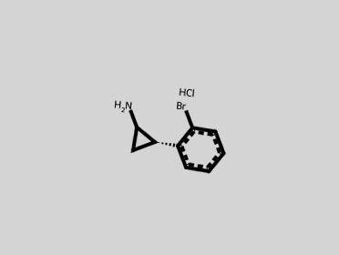 Cl.NC1C[C@H]1c1ccccc1Br